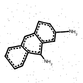 Nc1ccc2cc3ccccc3c(N)c2c1